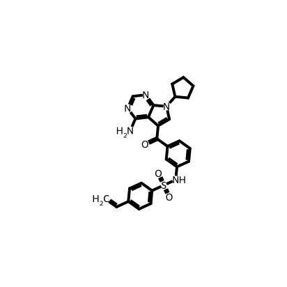 C=Cc1ccc(S(=O)(=O)Nc2cccc(C(=O)c3cn(C4CCCC4)c4ncnc(N)c34)c2)cc1